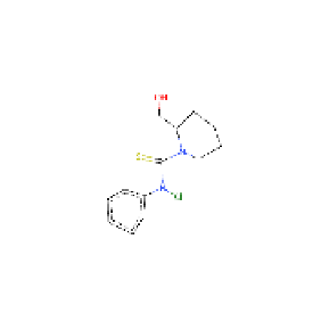 OCC1CCCCN1C(=S)N(Cl)c1ccccc1